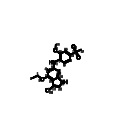 CCOc1nc(Nc2ccc(S(C)(=O)=O)cc2OC)nc2[nH]cc(Cl)c12